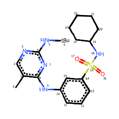 Cc1cnc(NC(C)(C)C)nc1Nc1cccc(S(=O)(=O)NC2CCCCC2)c1